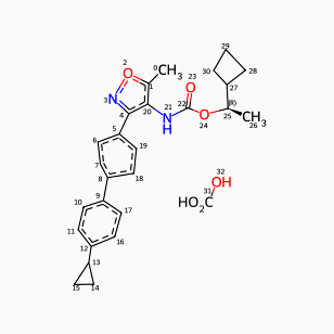 Cc1onc(-c2ccc(-c3ccc(C4CC4)cc3)cc2)c1NC(=O)O[C@H](C)C1CCC1.O=C(O)O